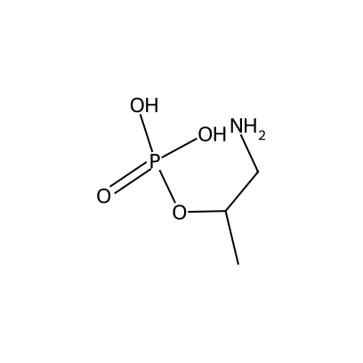 CC(CN)OP(=O)(O)O